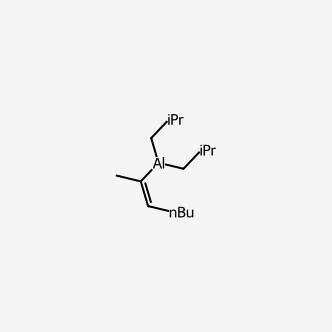 CCCC/C=[C](/C)[Al]([CH2]C(C)C)[CH2]C(C)C